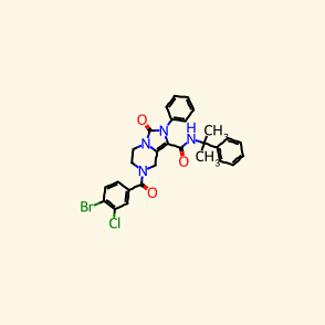 CC(C)(NC(=O)c1c2n(c(=O)n1-c1ccccc1)CCN(C(=O)c1ccc(Br)c(Cl)c1)C2)c1ccccc1